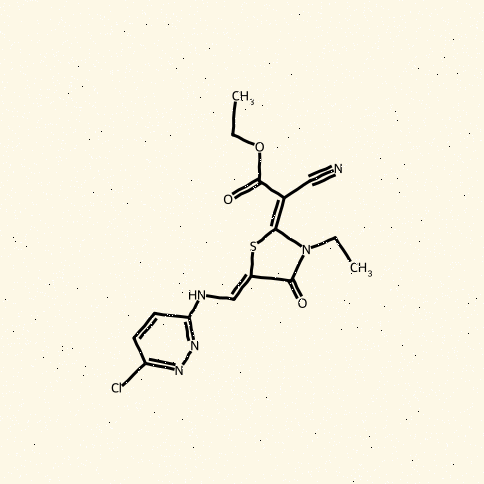 CCOC(=O)C(C#N)=c1sc(=CNc2ccc(Cl)nn2)c(=O)n1CC